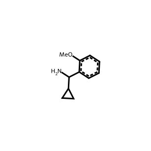 COc1ccccc1C(N)C1CC1